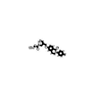 CC(C)(C)OC(=O)NC/C(=C\F)COc1ccc2c(c1)CCN(c1ccc(F)cc1)C2=O